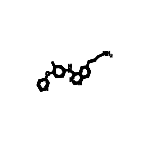 Cc1cc(Nc2ncnc3ccc(C=CCN)cc23)ccc1Oc1cccnc1